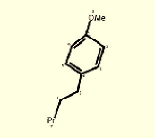 COc1ccc([CH]CC(C)C)cc1